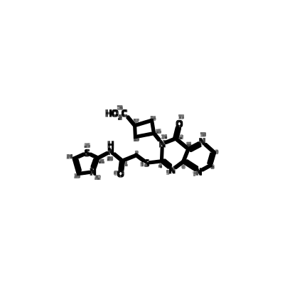 O=C(CSc1nc2nccnc2c(=O)n1C1CC(C(=O)O)C1)Nc1nccs1